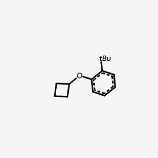 CC(C)(C)c1ccccc1OC1CCC1